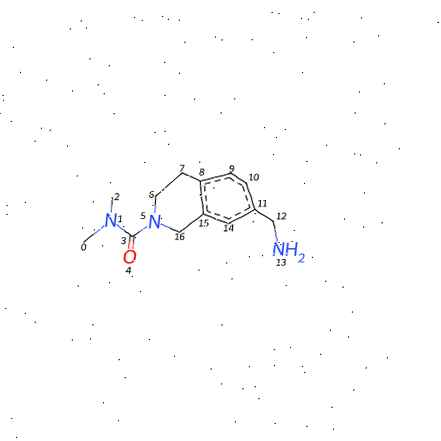 CN(C)C(=O)N1CCc2ccc(CN)cc2C1